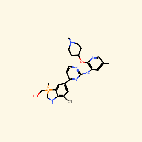 Cc1cnc(OC2CCN(C)CC2)c(Nc2nccc(-c3cc(C#N)c4c(c3)[PH](C)(CO)CN4)n2)c1